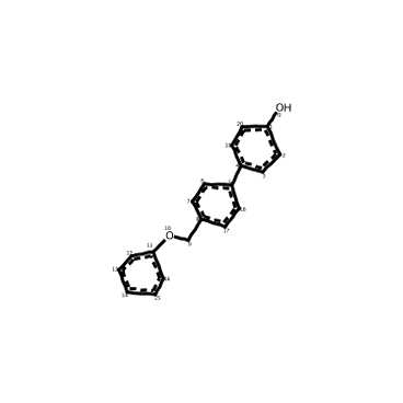 Oc1ccc(-c2ccc(COc3ccccc3)cc2)cc1